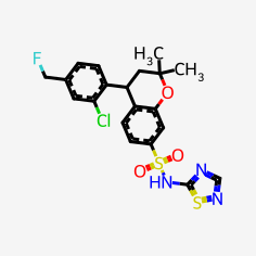 CC1(C)CC(c2ccc(CF)cc2Cl)c2ccc(S(=O)(=O)Nc3ncns3)cc2O1